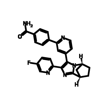 NC(=O)c1ccc(-c2cc(-c3c(-c4ccc(F)cn4)nc4n3[C@H]3CC[C@@H]4C3)ccn2)cc1